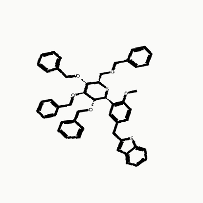 COc1ccc(Cc2cc3ccccc3s2)cc1[C@@H]1S[C@H](COCc2ccccc2)[C@@H](OCc2ccccc2)[C@H](OCc2ccccc2)[C@H]1OCc1ccccc1